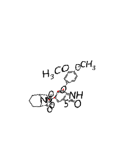 COc1ccc(OCCN2CC3CCCC(C2=O)N3S(=O)(=O)c2ccc3[nH]c(=O)sc3c2)cc1OC